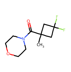 CC1(C(=O)N2CCOCC2)CC(F)(F)C1